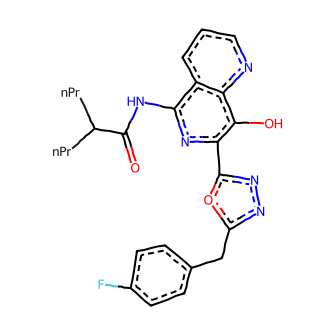 CCCC(CCC)C(=O)Nc1nc(-c2nnc(Cc3ccc(F)cc3)o2)c(O)c2ncccc12